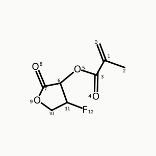 C=C(C)C(=O)OC1C(=O)OCC1F